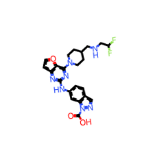 O=C(O)n1ncc2ccc(Nc3nc(N4CCC(CNCC(F)F)CC4)c4occc4n3)cc21